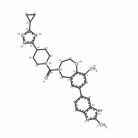 Cc1nc2ccc(-c3cc(C)c4c(c3)CN(C(=O)N3CCC(c5noc(C6CC6)n5)CC3)CCO4)cc2[nH]1